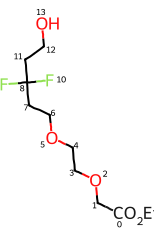 CCOC(=O)COCCOCCC(F)(F)CCO